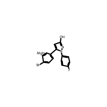 Oc1cc(-c2ccc(Br)cc2)n(-c2ccc(F)cc2)n1.[MgH2]